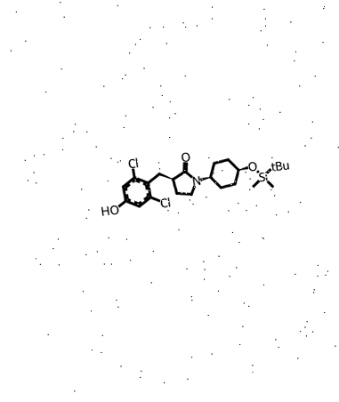 CC(C)(C)[Si](C)(C)O[C@H]1CC[C@@H](N2CC[C@@H](Cc3c(Cl)cc(O)cc3Cl)C2=O)CC1